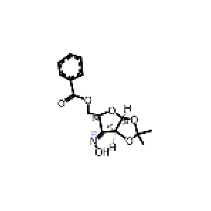 CC1(C)O[C@@H]2O[C@H](COC(=O)c3ccccc3)/C(=N/O)[C@@H]2O1